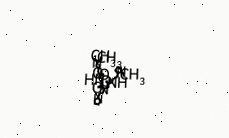 CCN(CC)CCOC(=O)NCC(=O)N(CCN1CCCC1)CC(=O)NCCC1CCCN1C